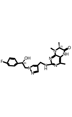 Cc1nc(NCc2cnn(C[C@H](O)c3ccc(F)cc3)c2)nc2c1NC(=O)[C@H](C)N2C